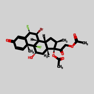 CC(=O)OCC(=O)[C@]1(OC(C)=O)[C@H](C)C[C@H]2[C@@H]3[C@H](Br)[C@@H](F)C4=CC(=O)C=C[C@]4(C)[C@@]3(F)[C@@H](O)C[C@@]21C